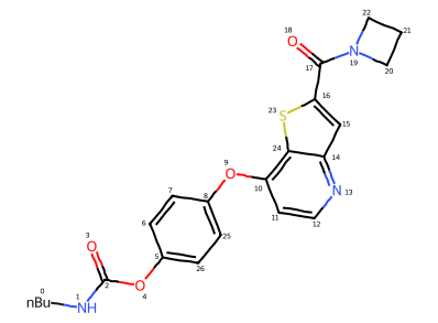 CCCCNC(=O)Oc1ccc(Oc2ccnc3cc(C(=O)N4CCC4)sc23)cc1